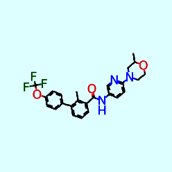 Cc1c(C(=O)Nc2ccc(N3CCOC(C)C3)nc2)cccc1-c1ccc(OC(F)(F)F)cc1